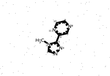 Cn1cnnc1-c1cnccn1